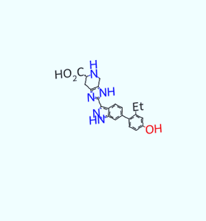 CCc1cc(O)ccc1-c1ccc2c(-c3nc4c([nH]3)CN[C@H](C(=O)O)C4)n[nH]c2c1